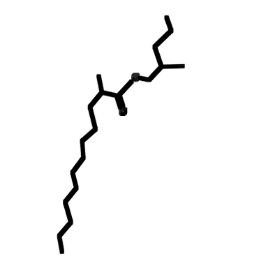 CCCCCCCCCCC(C)C(=O)OCC(C)CCC